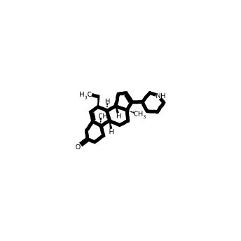 CC[C@@H]1C=C2CC(=O)CC[C@]2(C)[C@H]2CC[C@]3(C)C(C4CCCNC4)=CC[C@H]3[C@H]12